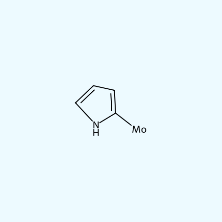 [Mo][c]1ccc[nH]1